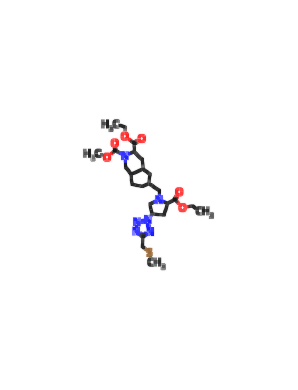 CCOC(=O)C1CC(n2nnc(CSC)n2)CN1CC1CCC2CN(C(=O)OC)C(C(=O)OCC)CC2C1